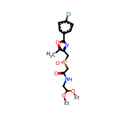 CCOC(CNC(=O)C[S+]([O-])Cc1nc(-c2ccc(Cl)cc2)oc1C)OCC